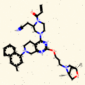 C=CC(=O)N1CCN(c2nc(OCCCN3C[C@@H]4C[C@H]3CO4)nc3c2CCN(c2cc(C)cc4ccccc24)C3)CC1CC#N